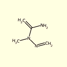 C=NN(C)C(=C)N